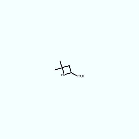 CC1(C)CC(C(=O)O)N1